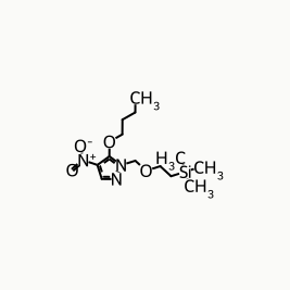 CCCCOc1c([N+](=O)[O-])cnn1COCC[Si](C)(C)C